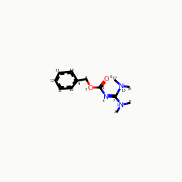 CN(C)C(=NC(=O)OCc1ccccc1)N(C)C